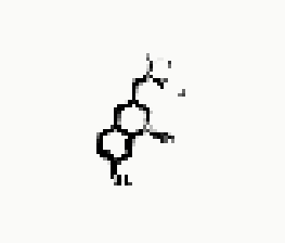 CC(C)N1CC(CN(C)C)CC2CC=C(N)C=C21